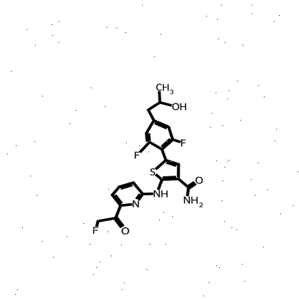 CC(O)Cc1cc(F)c(-c2cc(C(N)=O)c(Nc3cccc(C(=O)CF)n3)s2)c(F)c1